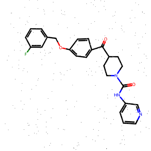 O=C(c1ccc(OCc2cccc(F)c2)cc1)C1CCN(C(=O)Nc2cccnc2)CC1